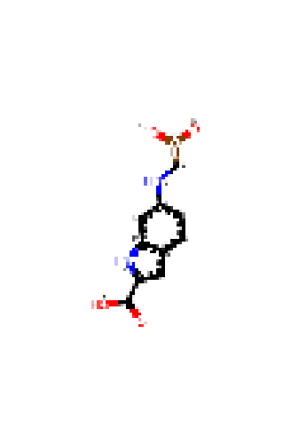 O=C(O)c1cc2ccc(NC[SH](=O)=O)cc2[nH]1